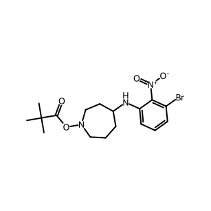 CC(C)(C)C(=O)ON1CCCC(Nc2cccc(Br)c2[N+](=O)[O-])CC1